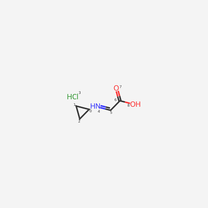 C1CC1.Cl.N=CC(=O)O